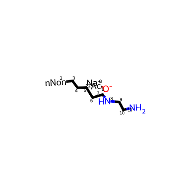 CC(=O)[O-].CCCCCCCCCCCCCCNCCN.[Na+]